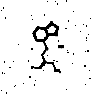 Cl.NC/C(=C/F)COc1cccc2scnc12